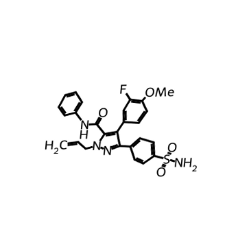 C=CCn1nc(-c2ccc(S(N)(=O)=O)cc2)c(-c2ccc(OC)c(F)c2)c1C(=O)Nc1ccccc1